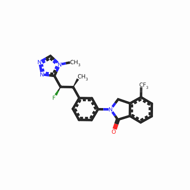 C[C@@H](c1cccc(N2Cc3c(cccc3C(F)(F)F)C2=O)c1)[C@@H](F)c1nncn1C